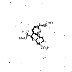 CON(C)C(=O)c1ccc(CNC=O)nc1N1CCN(C(=O)O)CC1